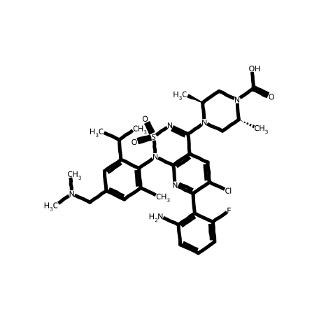 Cc1cc(CN(C)C)cc(C(C)C)c1N1c2nc(-c3c(N)cccc3F)c(Cl)cc2C(N2C[C@@H](C)N(C(=O)O)C[C@@H]2C)=NS1(=O)=O